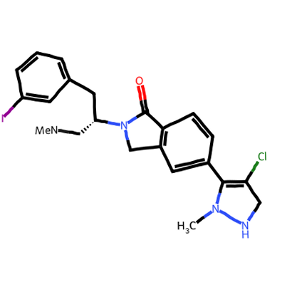 CNC[C@H](Cc1cccc(I)c1)N1Cc2cc(C3=C(Cl)CNN3C)ccc2C1=O